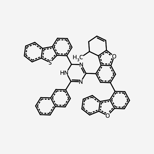 CC1CC=Cc2oc3cc(-c4cccc5oc6ccccc6c45)cc(C4=NC(c5cccc6c5sc5ccccc56)NC(c5ccc6ccccc6c5)=N4)c3c21